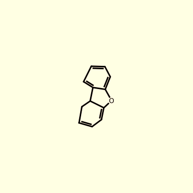 C1=CCC2C(=C1)Oc1ccccc12